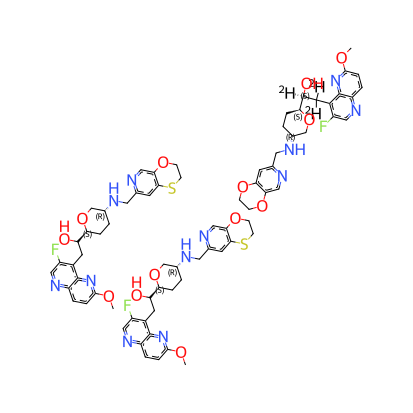 COc1ccc2ncc(F)c(CC(O)[C@@H]3CC[C@@H](NCc4cc5c(cn4)OCCS5)CO3)c2n1.COc1ccc2ncc(F)c(CC(O)[C@@H]3CC[C@@H](NCc4cc5c(cn4)OCCS5)CO3)c2n1.[2H]C([2H])(c1c(F)cnc2ccc(OC)nc12)[C@]([2H])(O)[C@@H]1CC[C@@H](NCc2cc3c(cn2)OCCO3)CO1